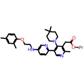 Cc1ccc(OCCNc2ccc(-c3cnc(C)c(CC(=O)OC(C)C)c3N3CCC(C)(C)CC3)nc2)c(C)c1